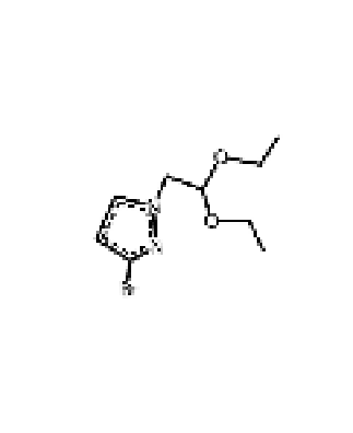 CCOC(Cn1ccc(Br)n1)OCC